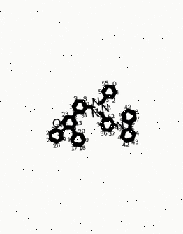 c1ccc(-c2nc(-c3cccc(-c4cc(-c5ccccc5)c5c(c4)oc4ccccc45)c3)nc(-c3cccc(-n4c5ccccc5c5ccccc54)c3)n2)cc1